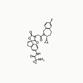 NC1(C(=O)Nc2ccc3c(c2)CC[C@]32OC(=O)N(CC(=O)N3Cc4ccc(F)cc4CC[C@H]3C3CC3)C2=O)CC1